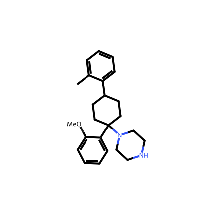 COc1ccccc1C1(N2CCNCC2)CCC(c2ccccc2C)CC1